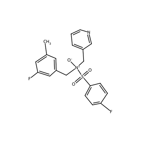 Cc1cc(F)cc(C[N+]([O-])(Cc2cccnc2)S(=O)(=O)c2ccc(F)cc2)c1